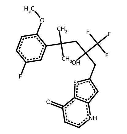 COc1ccc(F)cc1C(C)(C)CC(O)(Cc1cc2[nH]ccc(=O)c2s1)C(F)(F)F